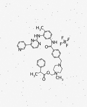 Cc1ccc(NC(=O)c2ccc(CN3CC[N+](C)(COC(=O)C(C)c4ccccc4)CC3)cc2)cc1Nc1nccc(-c2cccnc2)n1.F[B-](F)(F)F